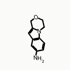 Nc1ccc2c(c1)cc1n2CCOC1